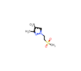 Cc1nn(CCS(C)(=O)=O)cc1[N+](=O)[O-]